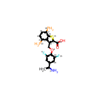 C=C(N)c1cc(F)c(OCc2c(C(=O)O)sc3c(P)ccc(P)c23)c(F)c1